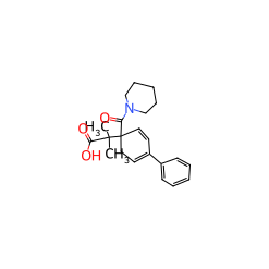 CC(C)(C(=O)O)C1(C(=O)N2CCCCC2)C=CC(c2ccccc2)=CC1